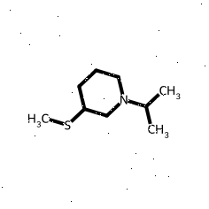 CSC1CCCN(C(C)C)C1